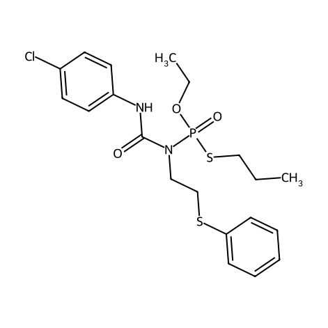 CCCSP(=O)(OCC)N(CCSc1ccccc1)C(=O)Nc1ccc(Cl)cc1